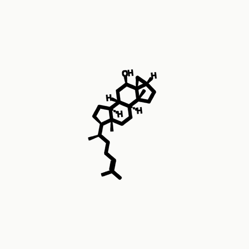 CC(C)=CCC[C@@H](C)[C@H]1CC[C@H]2[C@@H]3C[C@@H](O)[C@]45C[C@@H]4CC[C@]5(C)[C@H]3CC[C@]12C